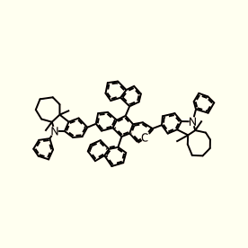 CC12CCCCCCC1(C)N(c1ccccc1)c1ccc(-c3ccc4c(-c5cccc6ccccc56)c5cc(-c6ccc7c(c6)C6(C)CCCCCC6(C)N7c6ccccc6)ccc5c(-c5cccc6ccccc56)c4c3)cc12